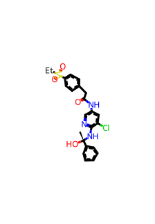 CCS(=O)(=O)c1ccc(CC(=O)Nc2cnc(N[C@@](C)(O)c3ccccc3)c(Cl)c2)cc1